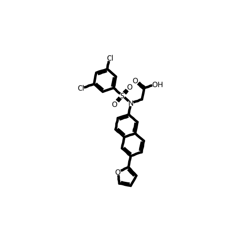 O=C(O)CN(c1ccc2cc(-c3ccco3)ccc2c1)S(=O)(=O)c1cc(Cl)cc(Cl)c1